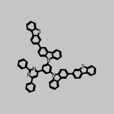 c1ccc(-c2cc(-c3cc(-n4c5ccccc5c5cc(-c6ccc7c(c6)sc6ccccc67)ccc54)cc(-n4c5ccccc5c5cc(-c6ccc7c(c6)sc6ccccc67)ccc54)c3)nc(-c3ccccc3)n2)cc1